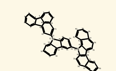 c1ccc2c(c1)-c1cccc3cc(-n4c5ccccc5c5cc(-n6c7ccc8ccccc8c7c7ccc8ccccc8c76)ccc54)cc-2c13